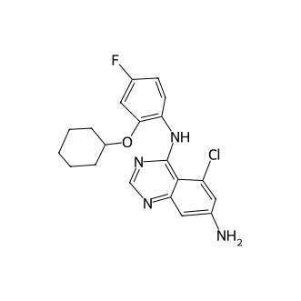 Nc1cc(Cl)c2c(Nc3ccc(F)cc3OC3CCCCC3)ncnc2c1